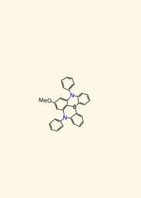 COc1cc2c3c(c1)N(c1ccccc1)c1ccccc1B3c1ccccc1N2c1ccccc1